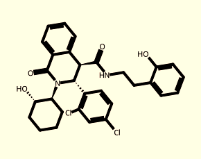 O=C(NCCc1ccccc1O)[C@@H]1c2ccccc2C(=O)N([C@H]2CCCC[C@@H]2O)[C@H]1c1ccc(Cl)cc1Cl